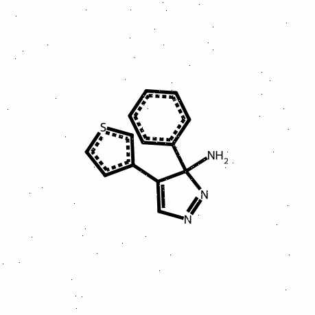 NC1(c2ccccc2)N=NC=C1c1ccsc1